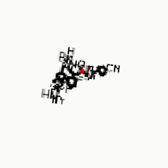 Cc1cc(C[n+]2c[nH]nc2CC(CCc2nc(-c3ccc(C#N)cc3)cs2)(OC(=O)C(F)(F)F)c2ccc(F)cc2F)cc(C)c1OC(=O)CNC(C)C.[Br-]